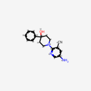 N#Cc1cc(N)cnc1N1CCC(O)(c2ccccc2)CC1